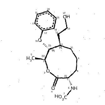 C[C@@H]1OC(=O)[C@@H](NC(=O)O)CCC[C@H](CCO)[C@H]1Oc1ccccc1